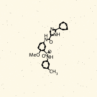 COc1ccc(NC(=O)c2cnc(-c3ccccc3)[nH]2)cc1S(=O)(=O)Nc1cccc(C)c1